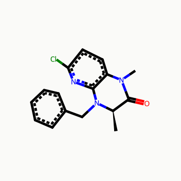 C[C@@H]1C(=O)N(C)c2ccc(Cl)nc2N1Cc1ccccc1